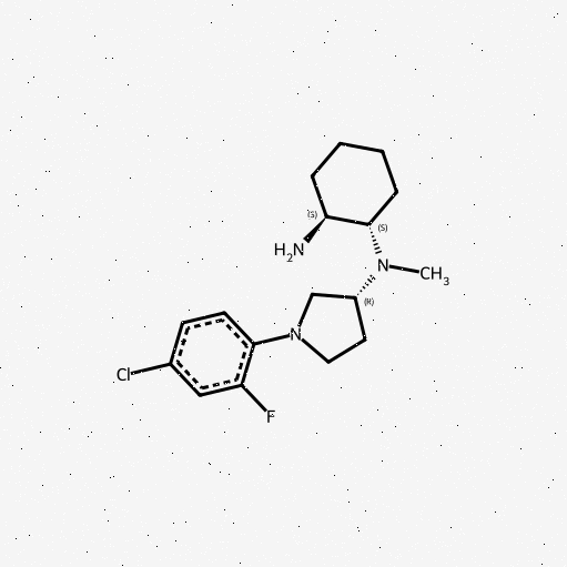 CN([C@@H]1CCN(c2ccc(Cl)cc2F)C1)[C@H]1CCCC[C@@H]1N